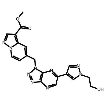 COC(=O)c1cnn2ccc(Cn3nnc4ncc(-c5cnn(CCO)c5)nc43)cc12